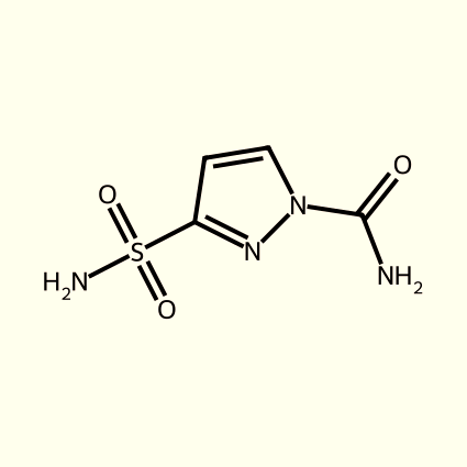 NC(=O)n1ccc(S(N)(=O)=O)n1